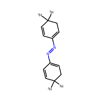 [2H]C1([2H])C=CC(N=NC2=CCC([2H])([2H])C=C2)=CC1